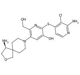 Nc1nccc(Sc2nc(CO)c(N3CCC4(CC3)COC[C@H]4N)cc2O)c1Cl